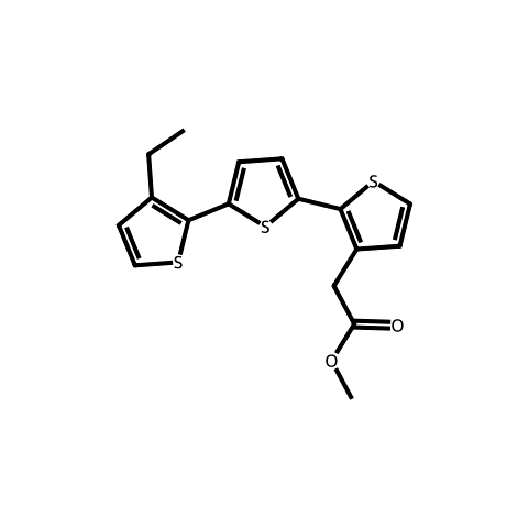 CCc1ccsc1-c1ccc(-c2sccc2CC(=O)OC)s1